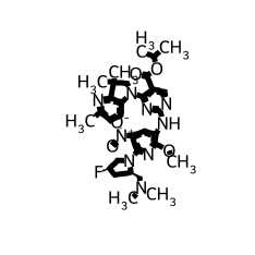 COc1nc(N2C[C@@H](F)C[C@@H]2CN(C)C)c([N+](=O)[O-])cc1Nc1ncc(C(=O)OC(C)C)c(N2CC(C)(C)c3nc(C)ccc32)n1